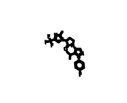 Cc1nc(C(F)(F)F)cn1C1CCN(c2cnn(-c3ccc(F)cc3)c2C(C)C)C1=O